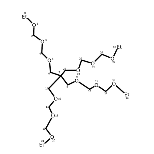 CCOCOCOCC(COCOCOCC)(COCOCOCC)COCOCOCC